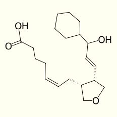 O=C(O)CCC/C=C\C[C@H]1COC[C@H]1/C=C/C(O)C1CCCCC1